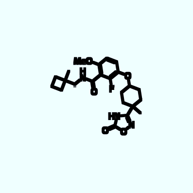 COc1ccc(OC2CCC(C)(c3noc(=O)[nH]3)CC2)c(F)c1C(=O)N[CH]C1(C)CCC1